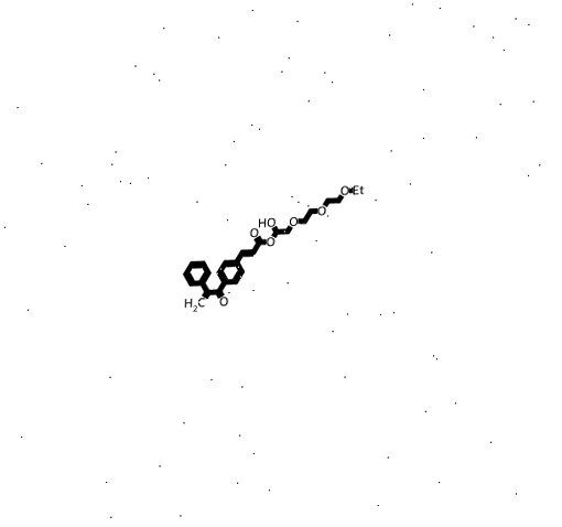 C=C(C(=O)c1ccc(/C=C/C(=O)OC(O)COCCOCCOCC)cc1)c1ccccc1